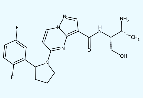 C[C@@H](N)[C@H](CO)NC(=O)c1cnn2ccc(N3CCCC3c3cc(F)ccc3F)nc12